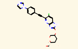 OC[C@H]1OCC(Oc2nc3nc(C#Cc4ccc(-n5ccnc5)cc4)c(Cl)cc3[nH]2)C[C@@H]1O